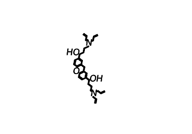 C=CCN(CC=C)CCCC(O)c1ccc2c(c1)Cc1cc(C(O)CCCN(CC=C)CC=C)ccc1O2